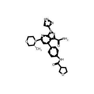 C[C@@H]1COCCN1c1cc(-c2ccc(NC(=O)C3CCOC3)cc2)c2c(C(N)=O)nn(-c3cc[nH]n3)c2n1